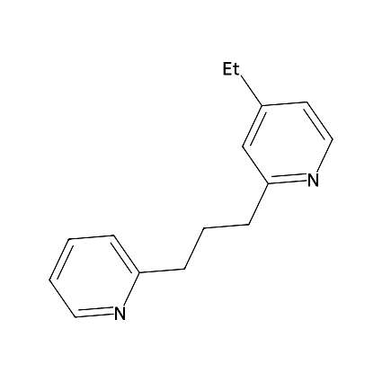 CCc1ccnc(CCCc2ccccn2)c1